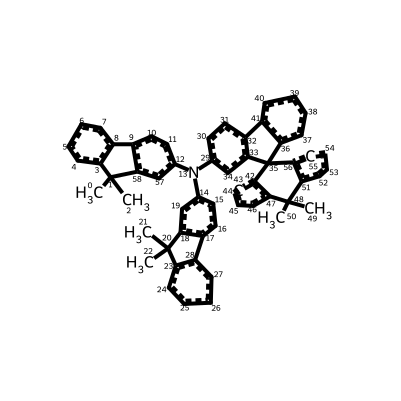 CC1(C)c2ccccc2-c2ccc(N(c3ccc4c(c3)C(C)(C)c3ccccc3-4)c3ccc4c(c3)C3(c5ccccc5-4)c4ccccc4C(C)(C)c4ccccc43)cc21